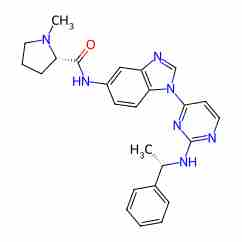 C[C@H](Nc1nccc(-n2cnc3cc(NC(=O)[C@@H]4CCCN4C)ccc32)n1)c1ccccc1